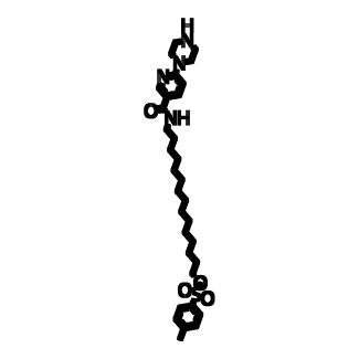 Cc1ccc(S(=O)(=O)OCCCCCCCCCCCCCCCNC(=O)c2ccc(N3CCNCC3)nc2)cc1